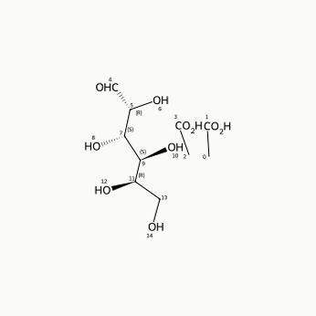 CC(=O)O.CC(=O)O.O=C[C@H](O)[C@@H](O)[C@@H](O)[C@H](O)CO